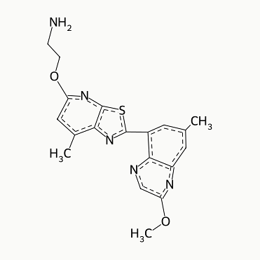 COc1cnc2c(-c3nc4c(C)cc(OCCN)nc4s3)cc(C)cc2n1